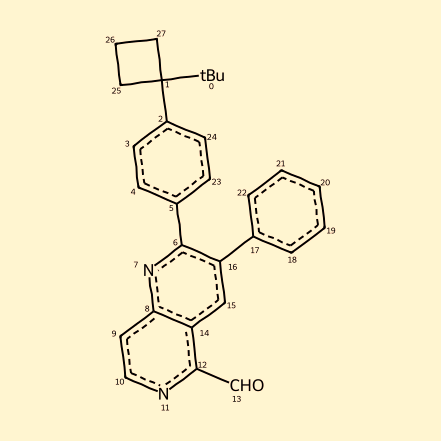 CC(C)(C)C1(c2ccc(-c3nc4ccnc(C=O)c4cc3-c3ccccc3)cc2)CCC1